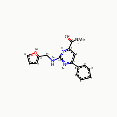 CNC(=O)c1cc(-c2ccccc2)nc(NCc2ccco2)n1